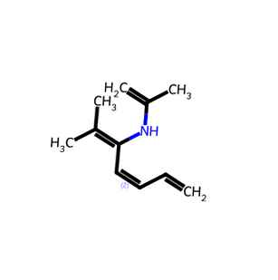 C=C/C=C\C(NC(=C)C)=C(C)C